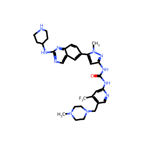 CN1CCN(Cc2cnc(NC(=O)Nc3cc(-c4ccc5nc(NC6CCNCC6)ncc5c4)n(C)n3)cc2C(F)(F)F)CC1